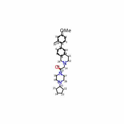 COc1ccc(-c2ccc3c(c2)CCN(CC(=O)N2CCN(C4CCCC4)CC2)C3)c(C)c1